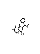 CCN(C)/C=N\c1cc(C)c(/C(=N/C)c2ccccc2)cc1Cl